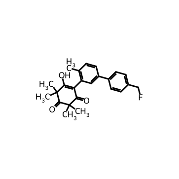 Cc1ccc(-c2ccc(CF)cc2)cc1C1=C(O)C(C)(C)C(=O)C(C)(C)C1=O